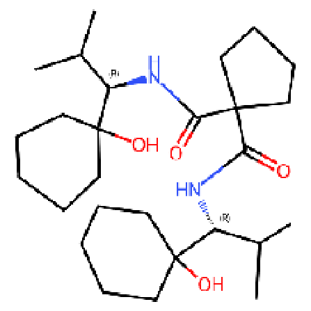 CC(C)[C@@H](NC(=O)C1(C(=O)N[C@H](C(C)C)C2(O)CCCCC2)CCCC1)C1(O)CCCCC1